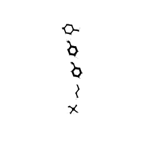 CCC1(COCCCCOc2ccc(C(=O)Oc3ccc(C(=O)OC4CC(C)CCC4C(C)C)cc3)cc2)COC1